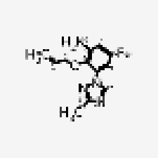 C=CCOc1c(N)cccc1-n1cnc(C)n1.[Fe]